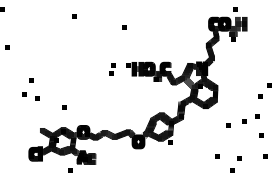 CC(=O)c1cc(Cl)c(C)cc1OCCCCOc1ccc(C=Cc2cccc3c2c(CC(=O)O)cn3CCCC(=O)O)cc1